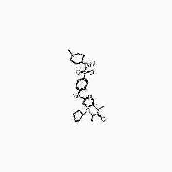 CC1C(=O)N(C)c2cnc(Nc3ccc(S(=O)(=O)NC4CCN(C)CC4)cc3)cc2N1C1CCCC1